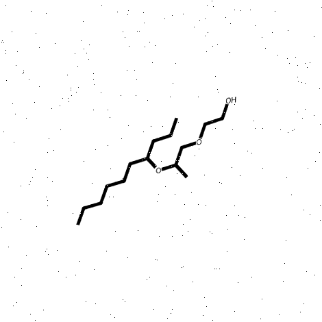 CCCCCCC(CCC)OC(C)COCCO